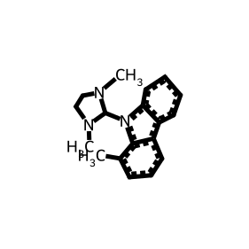 Cc1cccc2c3ccccc3n(C3N(C)CCN3C)c12